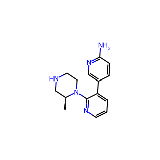 C[C@H]1CNCCN1c1ncccc1-c1ccc(N)nc1